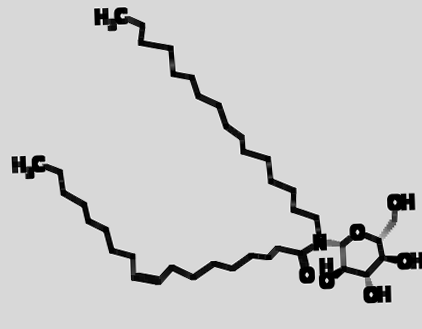 CCCCCCCC/C=C\CCCCCCCC(=O)N(CCCCCCCCCCCCCCCC)[C@@H]1O[C@H](CO)[C@@H](O)[C@H](O)[C@H]1O